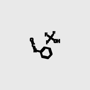 O=C=Nc1ccccc1.OC(F)(F)F